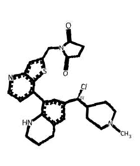 CN1CCC([C@H](Cl)c2cc3c(c(-c4ccnc5cc(CN6C(=O)CCC6=O)sc45)c2)NCCC3)CC1